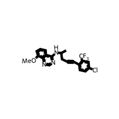 COc1cccc2c(NC(C)CC#Cc3ccc(Cl)cc3C(F)(F)F)ncnc12